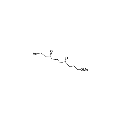 COCCCC(=O)CCCC(=O)CCC(C)=O